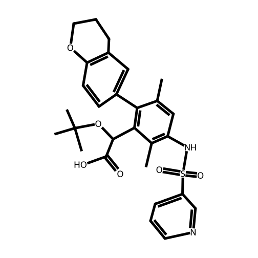 Cc1cc(NS(=O)(=O)c2cccnc2)c(C)c(C(OC(C)(C)C)C(=O)O)c1-c1ccc2c(c1)CCCO2